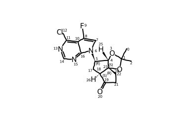 CC1(C)O[C@H]2[C@H](n3cc(F)c4c(Cl)ncnc43)C[C@@H]3C(=O)CC[C@@]32O1